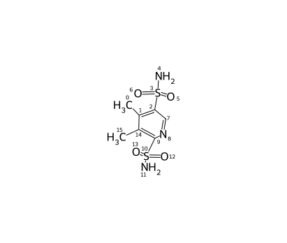 Cc1c(S(N)(=O)=O)cnc(S(N)(=O)=O)c1C